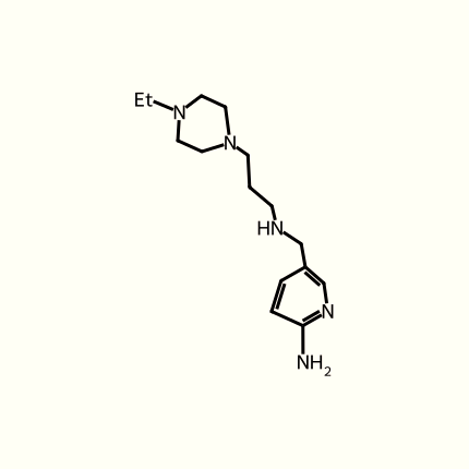 CCN1CCN(CCCNCc2ccc(N)nc2)CC1